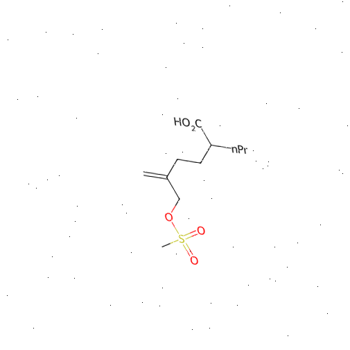 C=C(CCC(CCC)C(=O)O)COS(C)(=O)=O